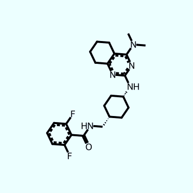 CN(C)c1nc(N[C@H]2CC[C@@H](CNC(=O)c3c(F)cccc3F)CC2)nc2c1CCCC2